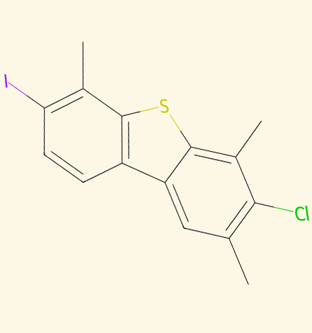 Cc1cc2c(sc3c(C)c(I)ccc32)c(C)c1Cl